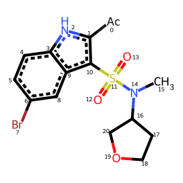 CC(=O)c1[nH]c2ccc(Br)cc2c1S(=O)(=O)N(C)C1CCOC1